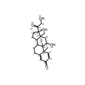 C[C@H]1CC2C3CCC4=CC(=O)C=CC4(C)C3(F)C(O)CC2(C)C1(O)C(=O)CO